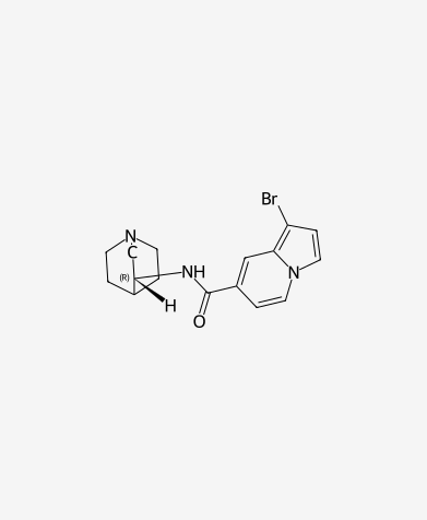 O=C(N[C@H]1CN2CCC1CC2)c1ccn2ccc(Br)c2c1